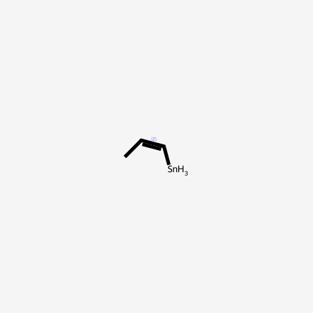 C/C=[CH]\[SnH3]